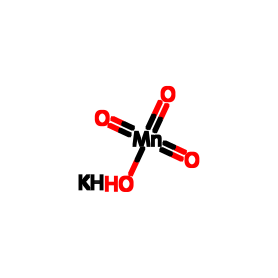 [KH].[O]=[Mn](=[O])(=[O])[OH]